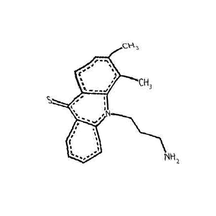 Cc1ccc2c(=S)c3ccccc3n(CCCN)c2c1C